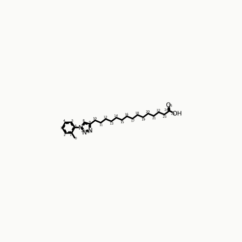 Cc1ccccc1-n1cc(CCCCCCCCCCCCCCC(=O)O)nn1